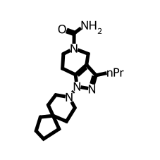 CCCc1nn(N2CCC3(CCCC3)CC2)c2c1CN(C(N)=O)CC2